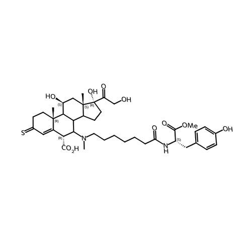 COC(=O)[C@H](Cc1ccc(O)cc1)NC(=O)CCCCCCN(C)C1C2C([C@@H](O)C[C@@]3(C)C2CC[C@]3(O)C(=O)CO)[C@@]2(C)CCC(=S)C=C2[C@H]1C(=O)O